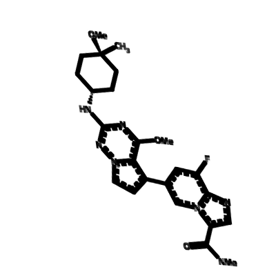 CNC(=O)c1cnc2c(F)cc(-c3ccn4nc(N[C@H]5CC[C@](C)(OC)CC5)nc(OC)c34)cn12